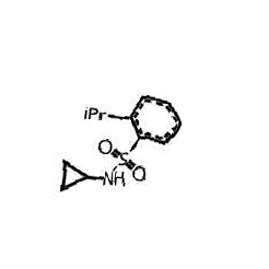 CC(C)c1ccccc1S(=O)(=O)NC1CC1